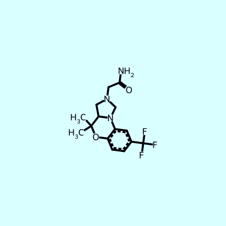 CC1(C)Oc2ccc(C(F)(F)F)cc2N2CN(CC(N)=O)CC21